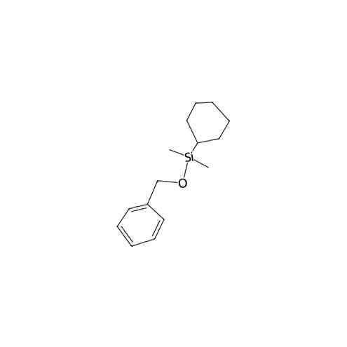 C[Si](C)(OCc1ccccc1)C1CCCCC1